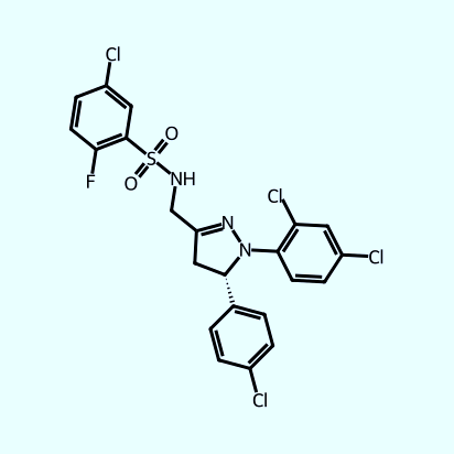 O=S(=O)(NCC1=NN(c2ccc(Cl)cc2Cl)[C@H](c2ccc(Cl)cc2)C1)c1cc(Cl)ccc1F